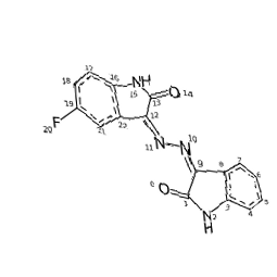 O=C1Nc2ccccc2/C1=N/N=C1\C(=O)Nc2ccc(F)cc21